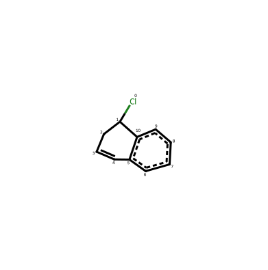 ClC1CC=Cc2ccccc21